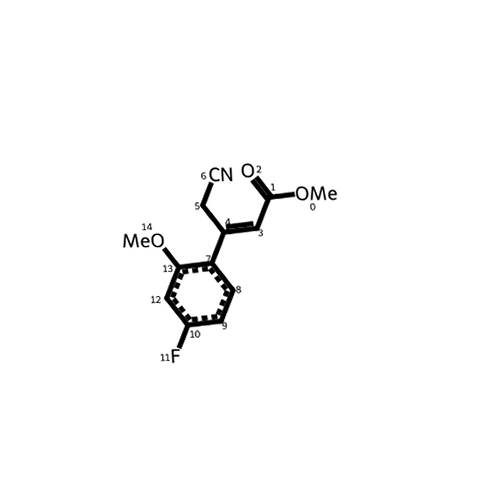 COC(=O)C=C(CC#N)c1ccc(F)cc1OC